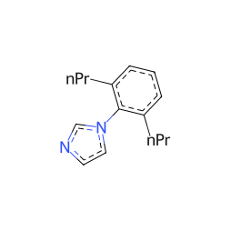 CCCc1cccc(CCC)c1-n1ccnc1